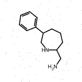 NCC1CCCC(c2ccccc2)CN1